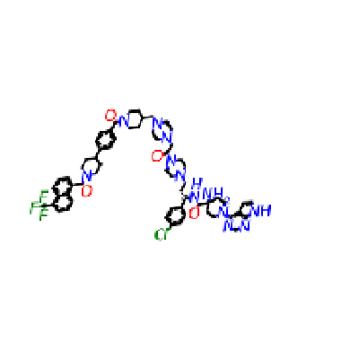 NC1(C(=O)N[C@@H](CCN2CCN(C(=O)CN3CCN(CC4CCN(C(=O)c5ccc(C6CCN(C(=O)c7cccc8c(C(F)(F)F)cccc78)CC6)cc5)CC4)CC3)CC2)c2ccc(Cl)cc2)CCN(c2ncnc3[nH]ccc23)CC1